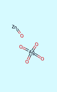 [O]=[Ag](=[O])(=[O])=[O].[O]=[Zn]